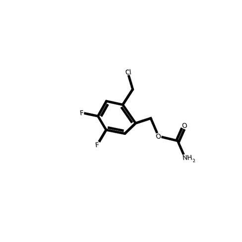 NC(=O)OCc1cc(F)c(F)cc1CCl